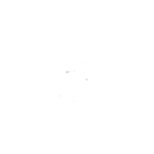 O=C(N1C[C@H]2C[C@@H](C1)c1cc([N+](=O)[O-])c([N+](=O)[O-])cc12)C(F)(F)F